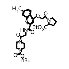 CCCCOC(=O)N1CCN(C(=O)CNC(=O)c2cc(OCC(=O)N3CCCC3C(=O)OCC)c3ccc(C)cc3n2)CC1